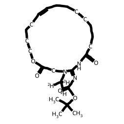 [2H]C([2H])([2H])N1CC(=O)OCCCCC=CCCCCCCCC(=O)NC1=NC(=O)OC(C)(C)C